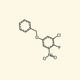 O=[N+]([O-])c1cc(OCc2ccccc2)cc(Cl)c1F